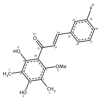 COc1c(C)c(O)c(C)c(O)c1C(=O)C=Cc1cccc(F)c1